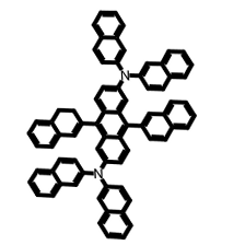 C1=C(c2c3cc(N(c4ccc5ccccc5c4)c4ccc5ccccc5c4)ccc3c(-c3ccc4ccccc4c3)c3cc(N(c4ccc5ccccc5c4)c4ccc5ccccc5c4)ccc23)CCc2ccccc21